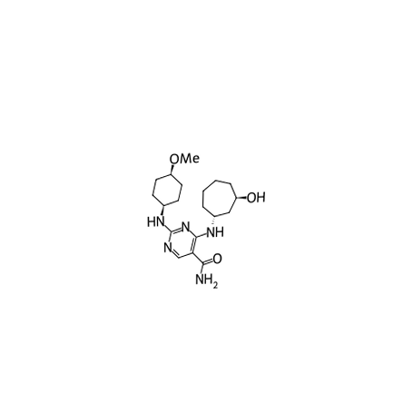 CO[C@H]1CC[C@@H](Nc2ncc(C(N)=O)c(N[C@@H]3CCCC[C@@H](O)C3)n2)CC1